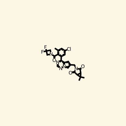 Cc1cc(Cl)cc(-c2ncnn3cc(CN4C(=O)C5C(C4=O)C5(C)C)cc23)c1C(=O)N1CC(F)(F)C1